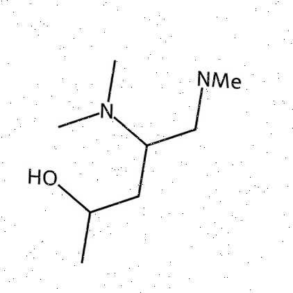 CNCC(CC(C)O)N(C)C